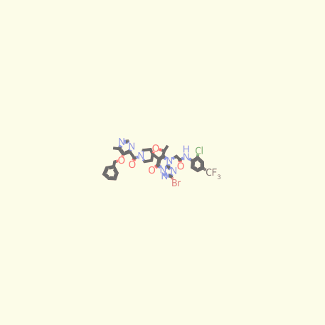 Cc1ncnc(C(=O)N2CCC3(CC2)OC(C)c2c3c(=O)n3nc(Br)nc3n2CC(=O)Nc2ccc(C(F)(F)F)cc2Cl)c1OCc1ccccc1